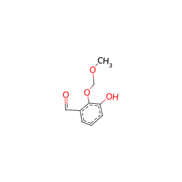 COCOc1c(O)cccc1C=O